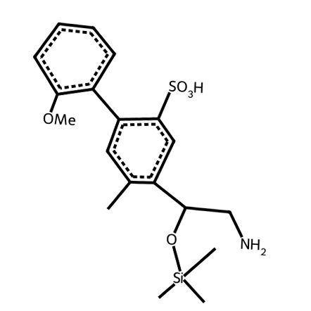 COc1ccccc1-c1cc(C)c(C(CN)O[Si](C)(C)C)cc1S(=O)(=O)O